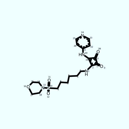 O=c1c(NCCCCCCS(=O)(=O)N2CCOCC2)c(Nc2ccncc2)c1=O